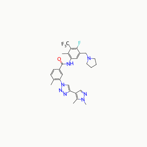 Cc1ccc(C(=O)Nc2cc(CN3CCCC3)c(F)c(C(F)(F)F)c2C)cc1-n1cc(-c2cnn(C)c2C)nn1